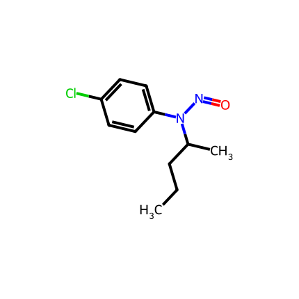 CCCC(C)N(N=O)c1ccc(Cl)cc1